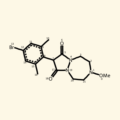 CON1CCN2C(=O)C(c3c(C)cc(Br)cc3C)C(=O)N2CC1